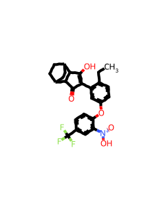 CCc1ccc(Oc2ccc(C(F)(F)F)cc2[N+](=O)O)cc1C1=C(O)C2C3CCC(CC3)C2C1=O